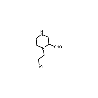 CC(C)CCN1CCNCC1C=O